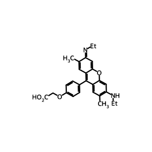 CCN=c1cc2oc3cc(NCC)c(C)cc3c(-c3ccc(OCC(=O)O)cc3)c-2cc1C